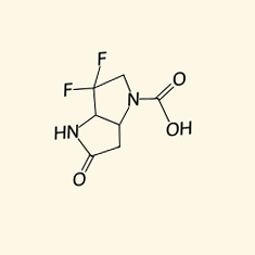 O=C1CC2C(N1)C(F)(F)CN2C(=O)O